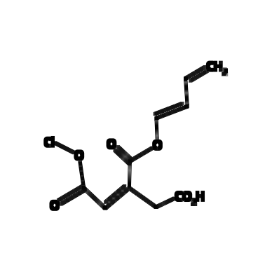 C=CC=COC(=O)/C(=C\C(=O)OCl)CC(=O)O